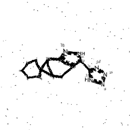 C1CCC2(CC1)C1Cc3c(n[nH]c3-c3nnn[nH]3)C12